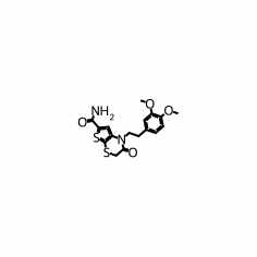 COc1ccc(CCN2C(=O)CSc3sc(C(N)=O)cc32)cc1OC